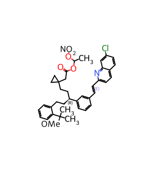 COC(C)(C)c1ccccc1CC[C@@H](CCC1(CC(=O)OC(C)O[N+](=O)[O-])CC1)c1cccc(/C=C/c2ccc3ccc(Cl)cc3n2)c1